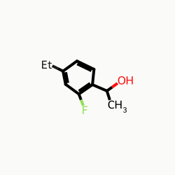 CCc1ccc(C(C)O)c(F)c1